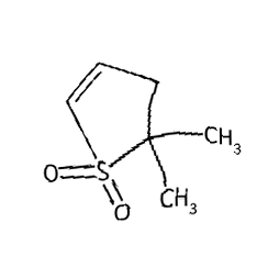 CC1(C)CC=CS1(=O)=O